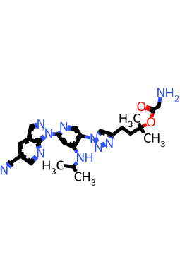 CC(C)Nc1cc(-n2ncc3cc(C#N)cnc32)ncc1-n1cc(CCC(C)(C)OC(=O)CN)nn1